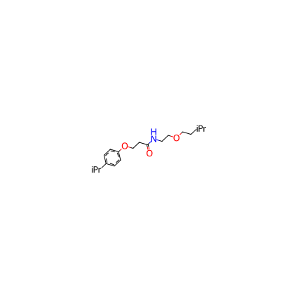 CC(C)CCOCCNC(=O)CCOc1ccc(C(C)C)cc1